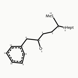 CCCCCCCC(CCC([O])Cc1cc[c]cc1)SC